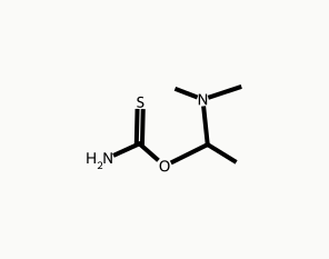 CC(OC(N)=S)N(C)C